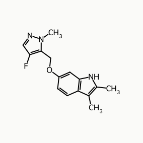 Cc1[nH]c2cc(OCc3c(F)cnn3C)ccc2c1C